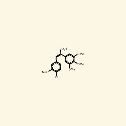 COc1cc(/C=C(/C(=O)O)c2cc(OC)c(OC)c(OC)c2)ccc1O